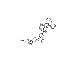 CCC[C@H]1COCCN1c1ncc2ncnc(Nc3ccc(Oc4ccc5c(c4)ncn5C)c(Cl)c3)c2n1